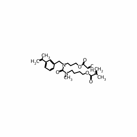 C=CC(=O)OCCCN(Cc1cccc(C(=C)C)c1)C(=O)N(C)CCCCOC(=O)C(=C)C